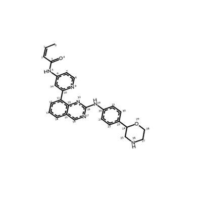 C/C=C\C(=O)Nc1ccnc(-c2cccc3cnc(Nc4ccc(C5CNCCO5)cc4)nc23)c1